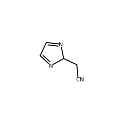 N#CCC1N=CC=N1